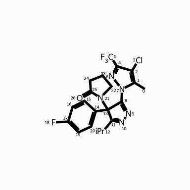 Cc1c(Cl)c(C(F)(F)F)nn1C1=NN=C(C(C)C)C1(c1ccc(F)cc1)N1CCCC1=O